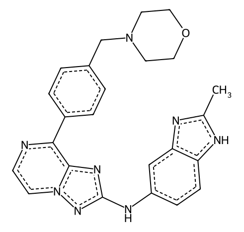 Cc1nc2cc(Nc3nc4c(-c5ccc(CN6CCOCC6)cc5)nccn4n3)ccc2[nH]1